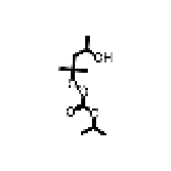 CC(O)CC(C)(C)OOC(=O)OC(C)C